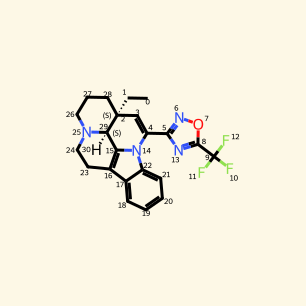 CC[C@@]12C=C(c3noc(C(F)(F)F)n3)n3c4c(c5ccccc53)CCN(CCC1)[C@H]42